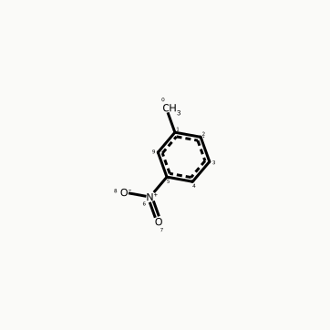 Cc1[c]ccc([N+](=O)[O-])c1